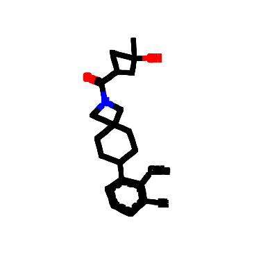 CCc1cccc(C2CCC3(CC2)CN(C(=O)C2CC(C)(O)C2)C3)c1OC